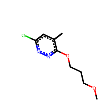 COCCCOc1nnc(Cl)cc1C